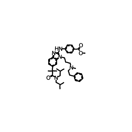 COC(=O)c1ccc(Nc2nc3ccc(C(C)(C)C(=O)N(CC(C)C)CC(C)C)cc3n2CCCN(C)CCc2ccccc2)cc1